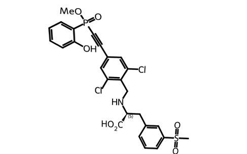 COP(=O)(C#Cc1cc(Cl)c(CN[C@@H](Cc2cccc(S(C)(=O)=O)c2)C(=O)O)c(Cl)c1)c1ccccc1O